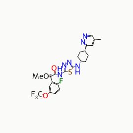 CO[C@H](C(=O)Nc1nnc(N[C@H]2CC[C@H](c3cc(C)cnn3)CC2)s1)c1cc(OC(F)(F)F)ccc1F